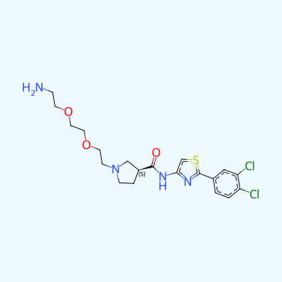 NCCOCCOCCN1CC[C@H](C(=O)Nc2csc(-c3ccc(Cl)c(Cl)c3)n2)C1